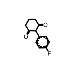 O=C1CCCC(=O)C1c1ccc(F)cc1